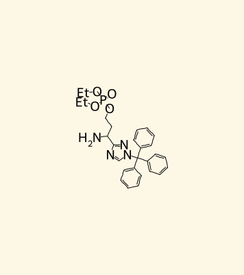 CCOP(=O)(OCC)OCCC(N)c1ncn(C(c2ccccc2)(c2ccccc2)c2ccccc2)n1